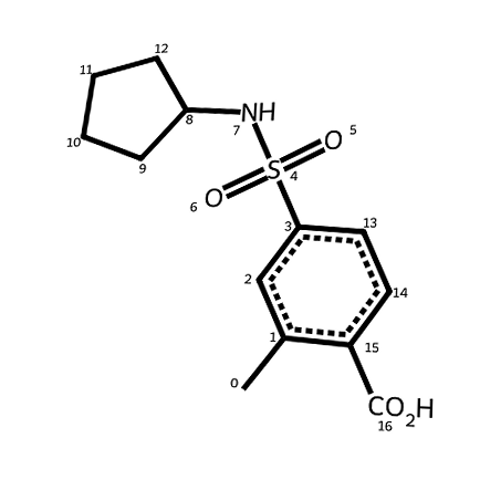 Cc1cc(S(=O)(=O)NC2CCCC2)ccc1C(=O)O